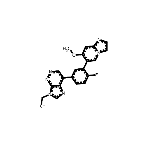 CCn1cnc2c(-c3ccc(F)c(-c4cn5ccnc5cc4OC)c3)cnnc21